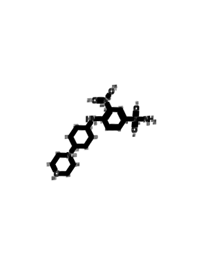 NS(=O)(=O)c1ccc(NC2CCC(N3CCOCC3)CC2)c([N+](=O)[O-])c1